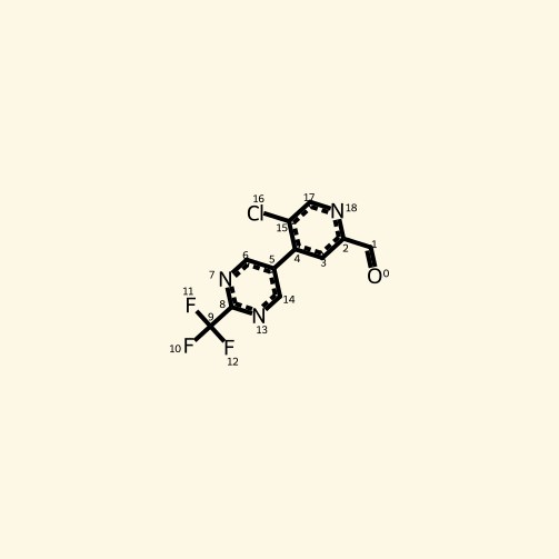 O=Cc1cc(-c2cnc(C(F)(F)F)nc2)c(Cl)cn1